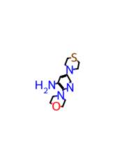 Nc1cc(N2CCSCC2)cnc1N1CCOCC1